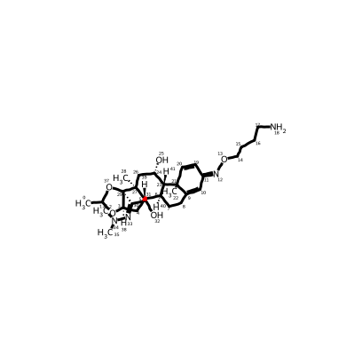 CC1O[C@@H]2C[C@H]3[C@@H]4CCC5=C/C(=N/OCCCCN)C=C[C@]5(C)[C@H]4[C@@H](O)C[C@]3(C)[C@]2(/C(CO)=N\N(C)C)O1